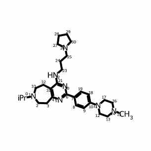 CC(C)N1CCc2nc(-c3ccc(N4CCN(C)CC4)cc3)nc(NCCCN3CCCC3)c2CC1